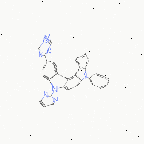 c1ccc(-n2c3ccccc3c3c4c5cc(-c6ncncn6)ccc5n(-c5ncccn5)c4ccc32)cc1